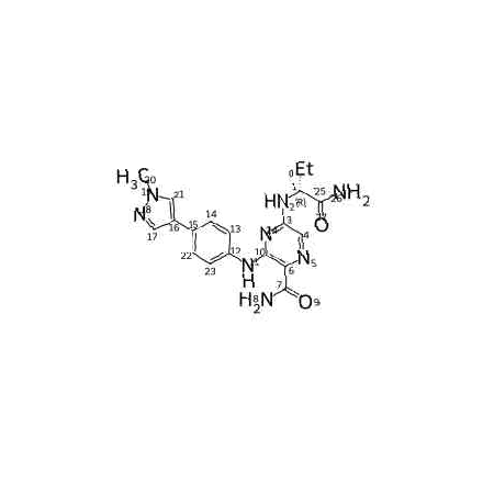 CC[C@@H](Nc1cnc(C(N)=O)c(Nc2ccc(-c3cnn(C)c3)cc2)n1)C(N)=O